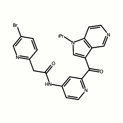 CC(C)n1cc(C(=O)c2cc(NC(=O)Cc3ccc(Br)cn3)ccn2)c2cnccc21